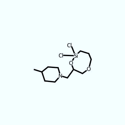 CC1CCN(CC2COCCC[Si](Cl)(Cl)O2)CC1